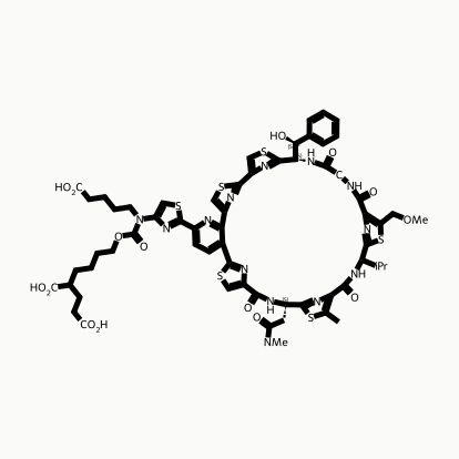 CNC(=O)C[C@@H]1NC(=O)c2csc(n2)-c2ccc(-c3nc(N(CCCCC(=O)O)C(=O)OCCCCC(CCC(=O)O)C(=O)O)cs3)nc2-c2csc(n2)-c2csc(n2)[C@H]([C@@H](O)c2ccccc2)NC(=O)CNC(=O)c2nc(sc2COC)C(C(C)C)NC(=O)c2nc1sc2C